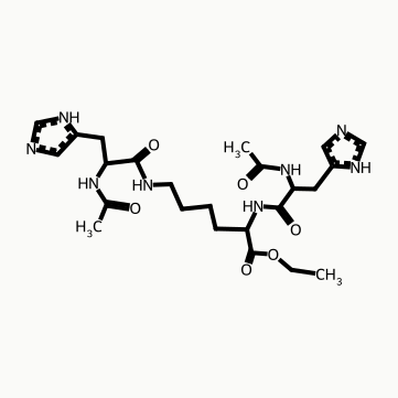 CCOC(=O)C(CCCCNC(=O)C(Cc1cnc[nH]1)NC(C)=O)NC(=O)C(Cc1cnc[nH]1)NC(C)=O